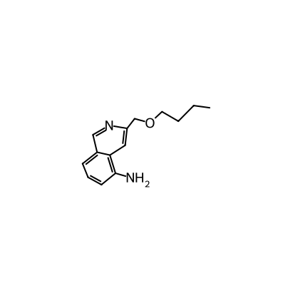 CCCCOCc1cc2c(N)cccc2cn1